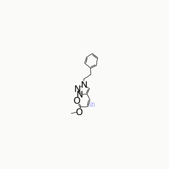 COC(=O)/C=C\c1cn(CCc2ccccc2)nn1